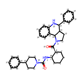 O=C(N[C@@H]1CCCC[C@@H]1C(=O)N1CCC2C(c3ccccc3)Nc3ccccc3C21)N1CCC(c2ccccc2)CC1